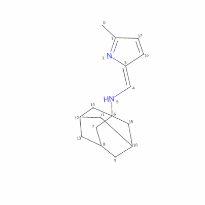 CC1=NC(=CNC23CC4CC(CC(C4)C2)C3)C=C1